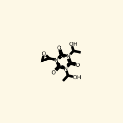 CC(O)n1c(=O)n(C(C)O)c(=O)n(C2CO2)c1=O